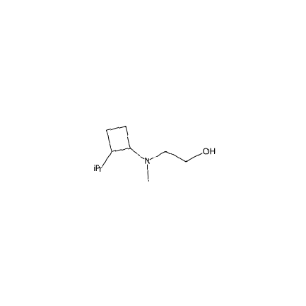 CC(C)C1CCC1N(C)CCO